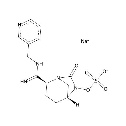 N=C(NCc1cccnc1)[C@@H]1CC[C@@H]2CN1C(=O)N2OS(=O)(=O)[O-].[Na+]